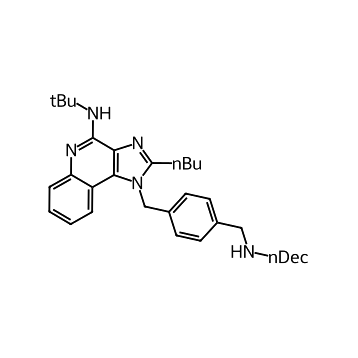 CCCCCCCCCCNCc1ccc(Cn2c(CCCC)nc3c(NC(C)(C)C)nc4ccccc4c32)cc1